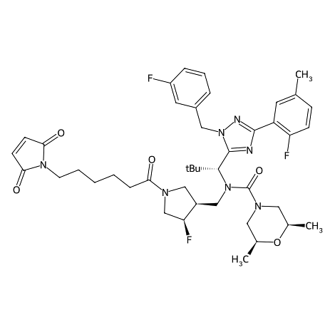 Cc1ccc(F)c(-c2nc([C@H](N(C[C@@H]3CN(C(=O)CCCCCN4C(=O)C=CC4=O)C[C@@H]3F)C(=O)N3C[C@@H](C)O[C@@H](C)C3)C(C)(C)C)n(Cc3cccc(F)c3)n2)c1